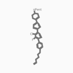 C=CCCCCc1ccc(-c2ccc(-c3ccc(C4=CCC(CCCCC)CC4)cc3)c(Cl)c2F)cc1